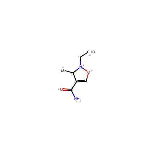 CCC1C(C(N)=O)=CON1CC=O